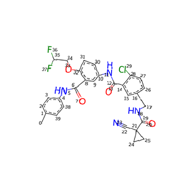 Cc1ccc(NC(=O)c2cc(NC(=O)c3cc(CNC(=O)C4(C#N)CC4)ccc3Cl)ccc2OCC(F)F)cc1